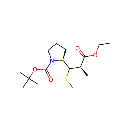 CCOC(=O)[C@@H](C)[C@@H](SC)[C@@H]1CCCN1C(=O)OC(C)(C)C